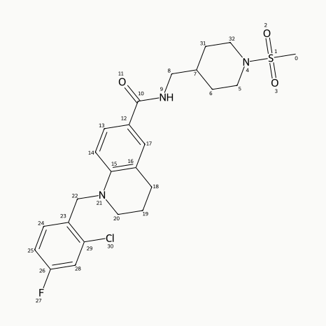 CS(=O)(=O)N1CCC(CNC(=O)c2ccc3c(c2)CCCN3Cc2ccc(F)cc2Cl)CC1